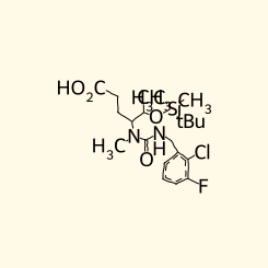 CC(O[Si](C)(C)C(C)(C)C)C(CCC(=O)O)N(C)C(=O)NCc1cccc(F)c1Cl